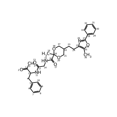 CC(=O)C(Cc1ccccc1)NC(=O)CNC(=O)C1(C)OCC(CCc2nc(-c3ccccc3)oc2C)CO1